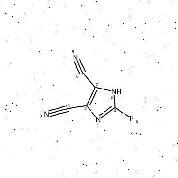 N#Cc1nc(F)[nH]c1C#N